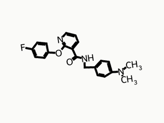 CN(C)c1ccc(CNC(=O)c2cccnc2Oc2ccc(F)cc2)cc1